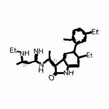 CCN/C(C)=C\C(=N)N/C(C)=C1\C(=O)NC2=CC(CC)C(c3cc(CC)ccc3C)C=C21